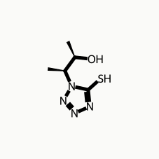 C[C@@H](O)[C@H](C)n1nnnc1S